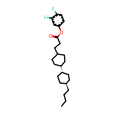 CCCC[C@H]1CC[C@H](C2CCC(CCC(=O)Oc3ccc(F)c(F)c3)CC2)CC1